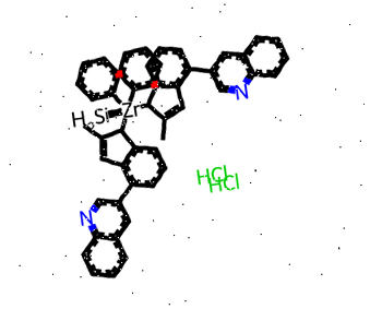 CC1=Cc2c(-c3cnc4ccccc4c3)cccc2[CH]1[Zr](=[SiH2])([c]1ccccc1)([c]1ccccc1)[CH]1C(C)=Cc2c(-c3cnc4ccccc4c3)cccc21.Cl.Cl